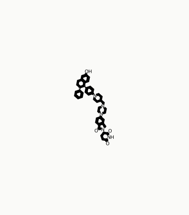 O=C1CC[C@H](N2Cc3cc(N4CCN(CC5CCN(c6ccc([C@@H]7c8ccc(O)cc8CC[C@@H]7c7ccccc7)cc6)CC5)CC4)ccc3C2=O)C(=O)N1